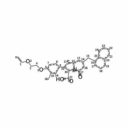 C=COCCOc1ccc(-c2sc3cc(Cc4cccc5ccccc45)cc(=O)n3c2C(=O)O)cc1C